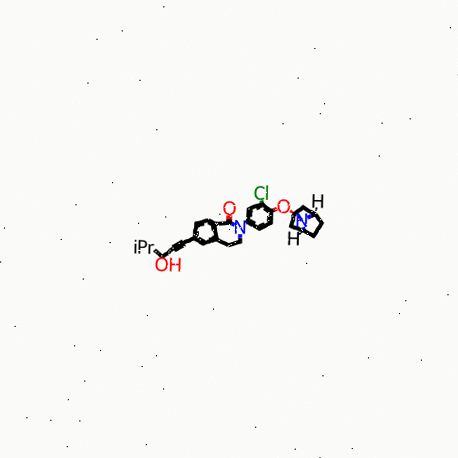 CC(C)C(O)C#Cc1ccc2c(c1)CCN(c1ccc(O[C@H]3C[C@H]4CC[C@@H](C3)N4C)c(Cl)c1)C2=O